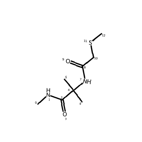 CNC(=O)C(C)(C)NC(=O)CSC